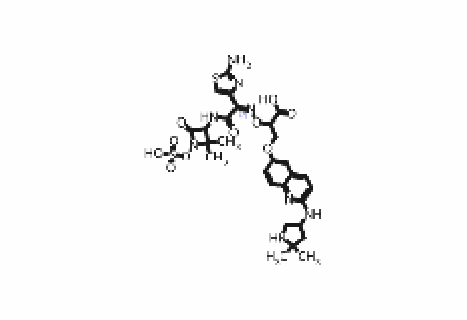 CC1(C)CC(Nc2ccc3cc(OCC(O/N=C(\C(=O)NC4C(=O)N(OS(=O)(=O)O)C4(C)C)c4csc(N)n4)C(=O)O)ccc3n2)CN1